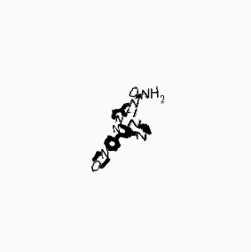 NC(=O)NCC1CCN(c2nc(-c3ccc(N4CCOCC4)cc3)cc3nccnc23)C1